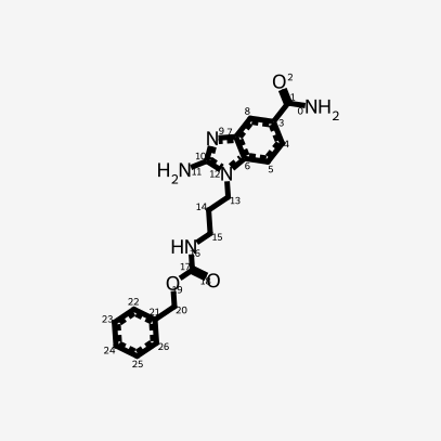 NC(=O)c1ccc2c(c1)nc(N)n2CCCNC(=O)OCc1ccccc1